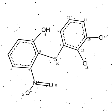 O=[N+]([O-])c1cccc(O)c1Sc1cccc(Cl)c1Cl